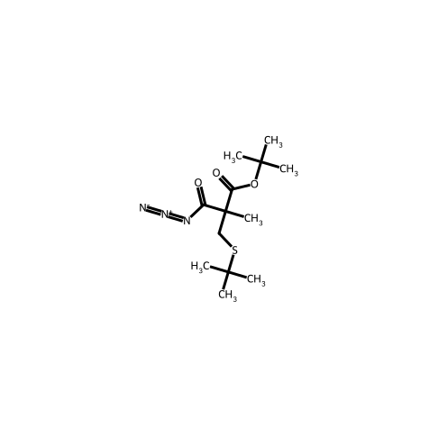 CC(C)(C)OC(=O)C(C)(CSC(C)(C)C)C(=O)N=[N+]=[N-]